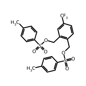 Cc1ccc(S(=O)(=O)OCc2ccc(C(F)(F)F)cc2COS(=O)(=O)c2ccc(C)cc2)cc1